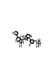 CS(=O)(=O)NCc1cc(F)cc(-c2nccc3[nH]c(-c4n[nH]c5ncc(-c6cccnc6)cc45)nc23)c1